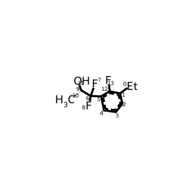 CCc1cccc(C(F)(F)[C@H](C)O)c1F